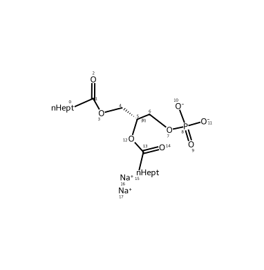 CCCCCCCC(=O)OC[C@H](COP(=O)([O-])[O-])OC(=O)CCCCCCC.[Na+].[Na+]